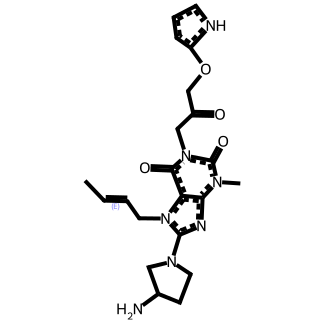 C/C=C/Cn1c(N2CCC(N)C2)nc2c1c(=O)n(CC(=O)COc1ccc[nH]1)c(=O)n2C